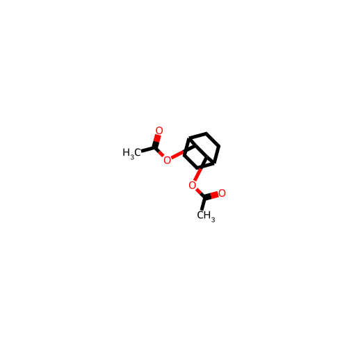 CC(=O)OC1C2CCC(CC2)C1OC(C)=O